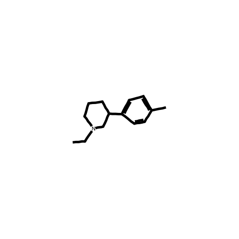 CCN1CCCC(c2ccc(C)cc2)C1